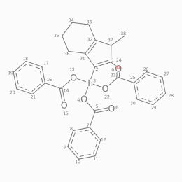 CC1=[C]([Ti]([O]C(=O)c2ccccc2)([O]C(=O)c2ccccc2)[O]C(=O)c2ccccc2)C2=C(CCCC2)C1C